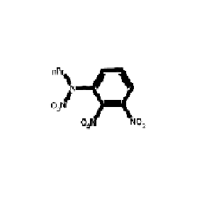 CCCN(c1cccc([N+](=O)[O-])c1[N+](=O)[O-])[N+](=O)[O-]